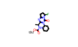 CC(NC(=O)OC(C)(C)C)c1nc2ccc(F)n2c(=O)n1-c1ccccc1